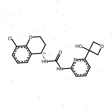 O=C(Nc1cccc(C2(O)COC2)n1)N[C@H]1CCOc2c(Cl)cccc21